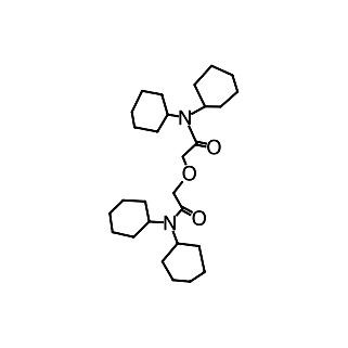 O=C(COCC(=O)N(C1CCCCC1)C1CCCCC1)N(C1CCCCC1)C1CCCCC1